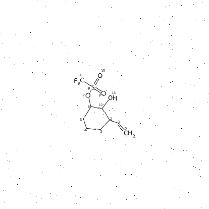 C=CC1CCCC(OS(=O)(=O)C(F)(F)F)C1O